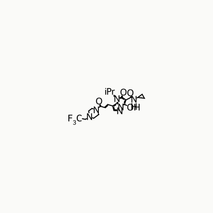 CC(C)Cn1c(=O)c(C(=O)NC2CC2)c(O)n2ncc(/C=C/C(=O)N3CCN(CC(F)(F)F)CC3)c12